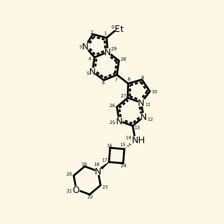 CCc1cnc2ncc(-c3ccn4nc(N[C@H]5C[C@H](N6CCOCC6)C5)ncc34)cn12